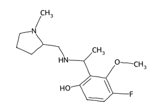 COc1c(F)ccc(O)c1C(C)NCC1CCCN1C